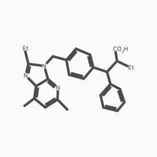 CCc1nc2c(C)cc(C)nc2n1Cc1ccc(C(c2ccccc2)C(CC)C(=O)O)cc1